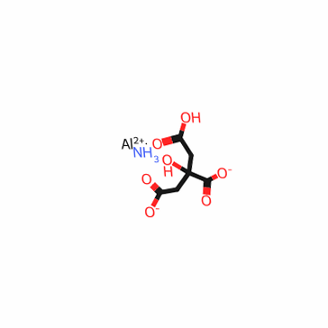 N.O=C([O-])CC(O)(CC(=O)O)C(=O)[O-].[Al+2]